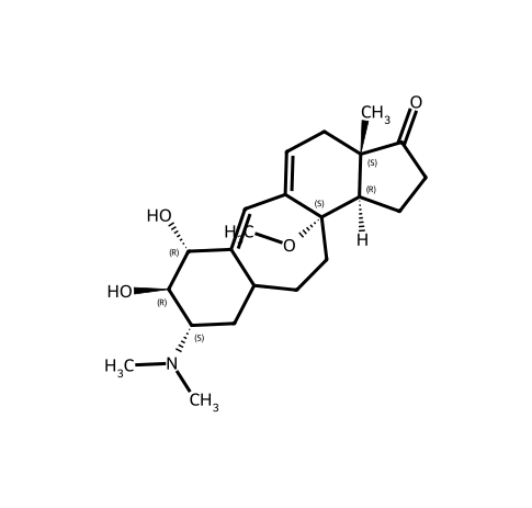 CO[C@]12CCC3C[C@H](N(C)C)[C@@H](O)[C@H](O)C3=CC1=CC[C@]1(C)C(=O)CC[C@H]12